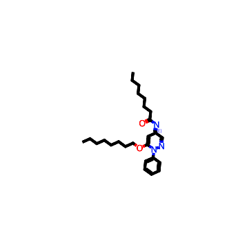 CCCCCCCCOc1c/c(=N\C(=O)CCCCCCC)cnn1-c1ccccc1